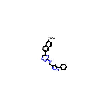 COc1ccc2cc(-c3cnnc(NCc4cc(-c5ccccc5)[nH]n4)n3)ccc2c1